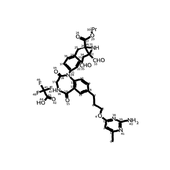 Cc1cc(OCCCc2ccc3c(c2)C(=O)NCC(=O)N3c2ccc(C[C@@]3(C(=O)OC(C)C)NC3(C=O)CC=O)cc2)nc(N)n1.O=C(O)C(F)(F)F